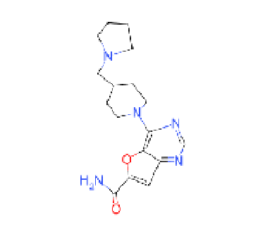 NC(=O)c1cc2ncnc(N3CCC(CN4CCCC4)CC3)c2o1